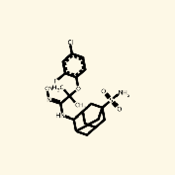 CC(C)(Oc1ccc(Cl)cc1F)/C(=N\C#N)NC1C2CC3CC1CC(S(N)(=O)=O)(C3)C2